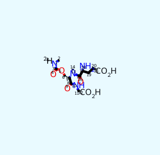 [2H]N(C)C(=O)OC[C@@H](C(=O)NCC(=O)O)N(C)C(=O)C(N)CCC(=O)O